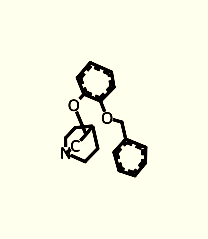 c1ccc(COc2ccccc2OC2CN3CCC2CC3)cc1